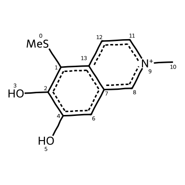 CSc1c(O)c(O)cc2c[n+](C)ccc12